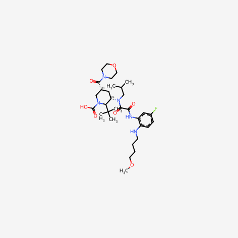 COCCCCNc1ccc(F)cc1NC(=O)C(=O)N(CC(C)C)[C@H]1C[C@@H](C(=O)N2CCOCC2)CN(C(=O)O)C1C(C)(C)C